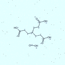 O=C(O)CCP(CCC(=O)O)CCC(=O)O.OCl